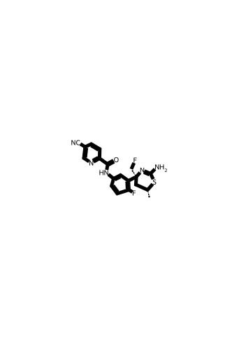 C[C@@H]1C[C@@](CF)(c2cc(NC(=O)c3ccc(C#N)cn3)ccc2F)N=C(N)S1